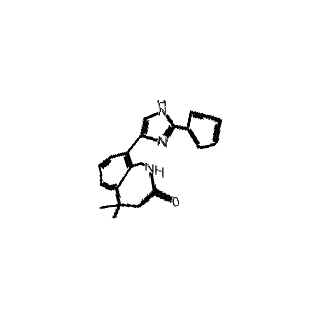 CC1(C)CC(=O)Nc2c(-c3c[nH]c(-c4ccccc4)n3)cccc21